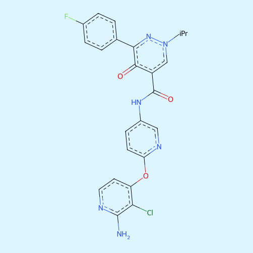 CC(C)n1cc(C(=O)Nc2ccc(Oc3ccnc(N)c3Cl)nc2)c(=O)c(-c2ccc(F)cc2)n1